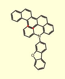 c1ccc(N(c2ccc3c(c2)oc2ccccc23)c2cccc3ccc4c5ccc6ccccc6c5ccc4c23)cc1